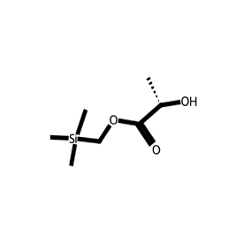 C[C@H](O)C(=O)OC[Si](C)(C)C